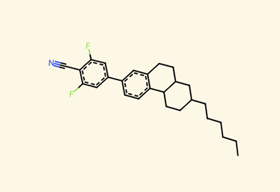 CCCCCCC1CCC2c3ccc(-c4cc(F)c(C#N)c(F)c4)cc3CCC2C1